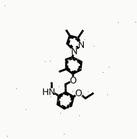 CCOc1cccc(NC)c1COc1ccc(-n2cc(C)c(C)n2)cc1C